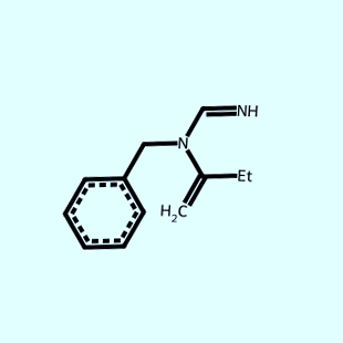 C=C(CC)N(C=N)Cc1ccccc1